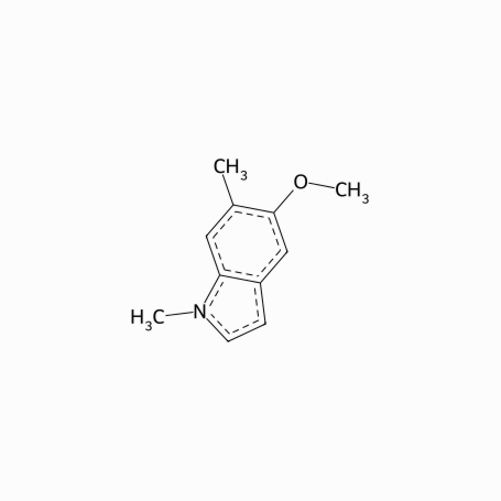 COc1cc2ccn(C)c2cc1C